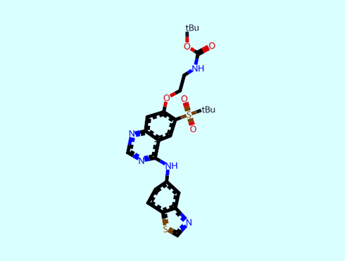 CC(C)(C)OC(=O)NCCOc1cc2ncnc(Nc3ccc4scnc4c3)c2cc1S(=O)(=O)C(C)(C)C